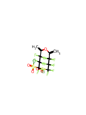 C=C(OC(=C)C(F)(F)C(F)(F)C(F)(F)S(=O)(=O)Cl)C(F)(F)C(F)(F)C(F)(F)S(=O)(=O)Cl